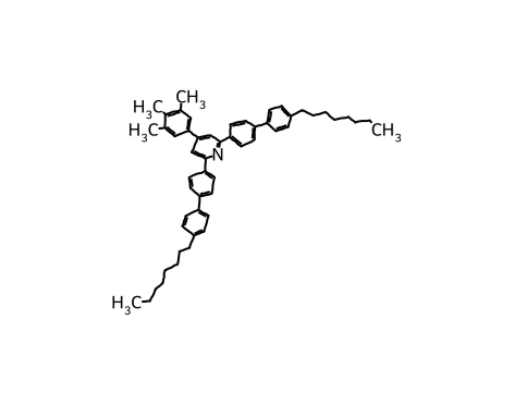 CCCCCCCCc1ccc(-c2ccc(-c3cc(-c4cc(C)c(C)c(C)c4)cc(-c4ccc(-c5ccc(CCCCCCCC)cc5)cc4)n3)cc2)cc1